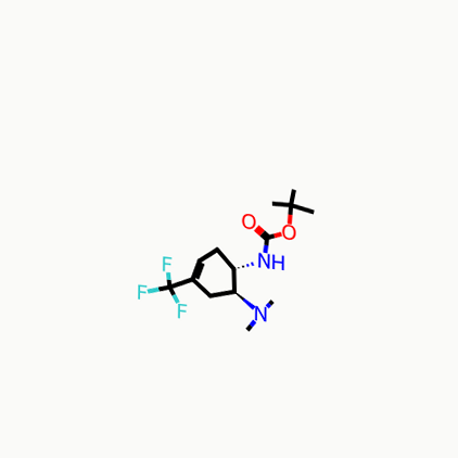 CN(C)[C@H]1CC(C(F)(F)F)=CC[C@@H]1NC(=O)OC(C)(C)C